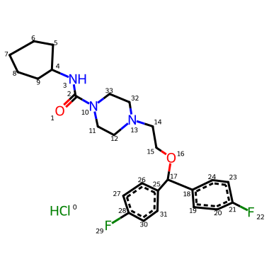 Cl.O=C(NC1CCCCC1)N1CCN(CCOC(c2ccc(F)cc2)c2ccc(F)cc2)CC1